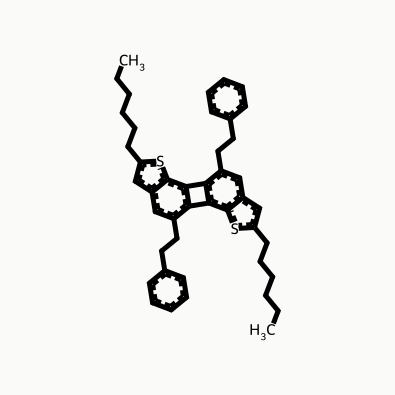 CCCCCCc1cc2cc(CCc3ccccc3)c3c(c2s1)-c1c(CCc2ccccc2)cc2cc(CCCCCC)sc2c1-3